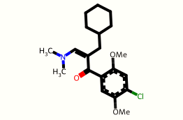 COc1cc(C(=O)C(=CN(C)C)CC2CCCCC2)c(OC)cc1Cl